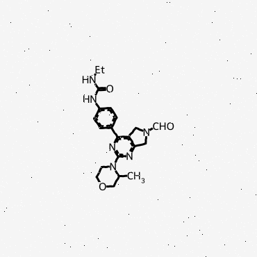 CCNC(=O)Nc1ccc(-c2nc(N3CCOCC3C)nc3c2CN(C=O)C3)cc1